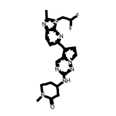 Cc1nc2ccc(-c3ccn4nc(NC5CCN(C)C(=O)C5)ncc34)nc2n1CC(F)F